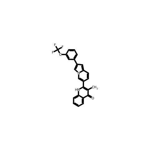 Cc1c(-c2ccc3cc(-c4cccc(OC(F)(F)F)c4)cn3c2)[nH]c2ccccc2c1=O